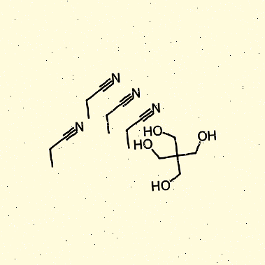 CCC#N.CCC#N.CCC#N.CCC#N.OCC(CO)(CO)CO